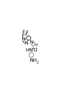 N[C@H]1CC[C@H](NC(=O)C2CN(c3ccc(C(F)(F)F)c4nccnc34)CC23CC3)CC1